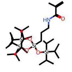 C=C(C)C(=O)NCCC[Si](O[Si](C(C)C)(C(C)C)C(C)C)(O[Si](C(C)C)(C(C)C)C(C)C)O[Si](C(C)C)(C(C)C)C(C)C